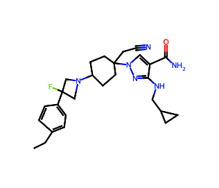 CCc1ccc(C2(F)CN(C3CCC(CC#N)(n4cc(C(N)=O)c(NCC5CC5)n4)CC3)C2)cc1